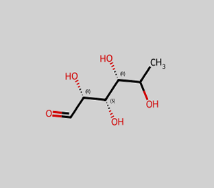 C[C](O)[C@@H](O)[C@H](O)[C@@H](O)C=O